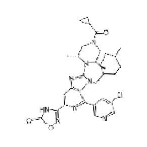 CC1CCC(Cn2c(N3[C@H](C)CN(C(=O)C4CC4)C[C@H]3C)nc3cc(-c4noc(=O)[nH]4)nc(-c4cncc(Cl)c4)c32)CC1